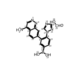 Nc1cnnc2cc(-c3cc(B(O)O)ccc3-n3cncn3)ccc12.O=CO